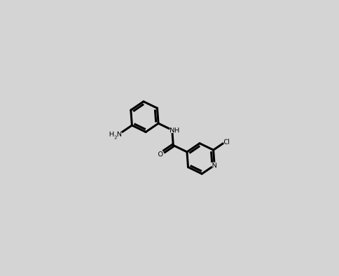 Nc1cccc(NC(=O)c2ccnc(Cl)c2)c1